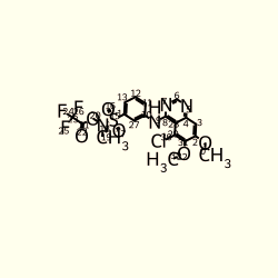 COc1cc2ncnc(Nc3cccc(S(=O)(=O)N(C)OC(=O)C(F)(F)F)c3)c2c(Cl)c1OC